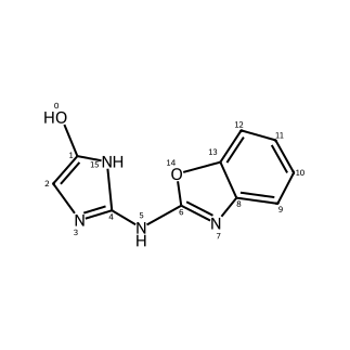 Oc1cnc(Nc2nc3ccccc3o2)[nH]1